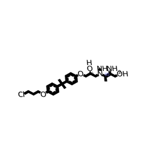 C/C(=C(/N)CO)N(N)C[C@@H](O)COc1ccc(C(C)(C)c2ccc(OCCCCl)cc2)cc1